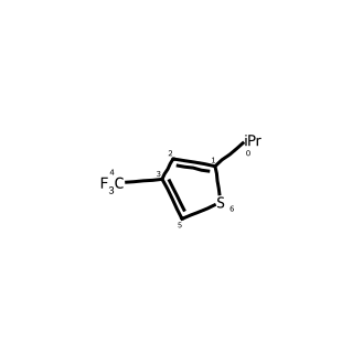 CC(C)c1cc(C(F)(F)F)cs1